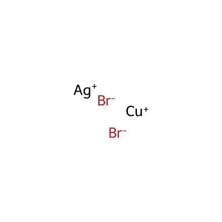 [Ag+].[Br-].[Br-].[Cu+]